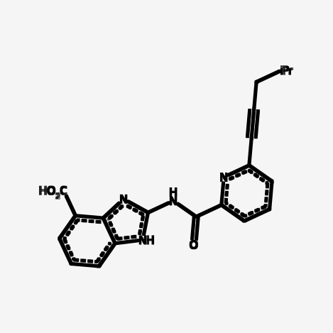 CC(C)CC#Cc1cccc(C(=O)Nc2nc3c(C(=O)O)cccc3[nH]2)n1